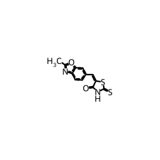 Cc1nc2ccc(C=C3SC(=S)NC3=O)cc2o1